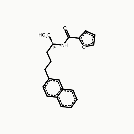 O=C(N[C@@H](CCCc1ccc2ccccc2c1)C(=O)O)c1ccco1